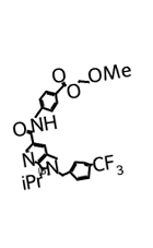 COCCOC(=O)c1ccc(CNC(=O)c2cnc3c(c2)CN(Cc2ccc(C(F)(F)F)cc2)[C@H]3C(C)C)cc1